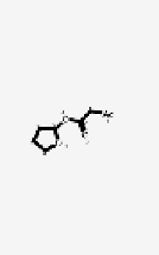 CC(=O)CC(=O)OC1CCCO1